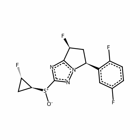 [O-][S+](c1nc2n(n1)[C@H](c1cc(F)ccc1F)C[C@@H]2F)[C@H]1C[C@@H]1F